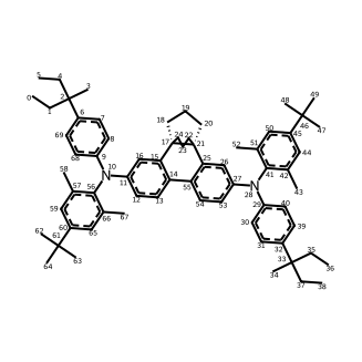 CCC(C)(CC)c1ccc(N(c2ccc3c(c2)[C@]24CCC[C@]2(CCC4)c2cc(N(c4ccc(C(C)(CC)CC)cc4)c4c(C)cc(C(C)(C)C)cc4C)ccc2-3)c2c(C)cc(C(C)(C)C)cc2C)cc1